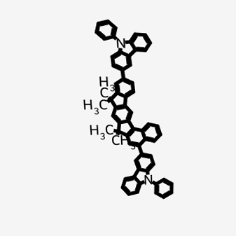 CC1(C)c2cc(-c3ccc4c(c3)c3ccccc3n4-c3ccccc3)ccc2-c2cc3c(cc21)C(C)(C)c1cc(-c2ccc4c(c2)c2ccccc2n4-c2ccccc2)c2ccccc2c1-3